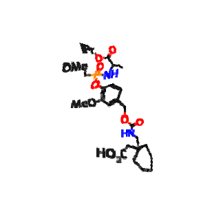 COCP(=O)(NC(C)C(=O)OC(C)C)Oc1ccc(COC(=O)NCC2(CC(=O)O)CCCCC2)cc1OC